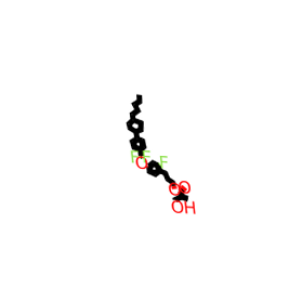 C=C(CO)C(=O)OCCCc1ccc(OC(F)(F)c2ccc(C3CCC(CCCCC)CC3)cc2)cc1F